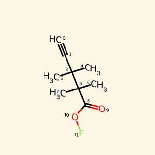 C#CC(C)(C)C(C)(C)C(=O)OF